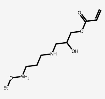 C=CC(=O)OCC(O)CNCCC[SiH2]OCC